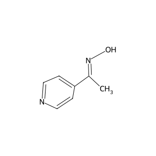 CC(=NO)c1ccncc1